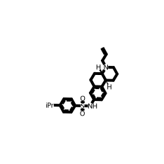 C=CCN1CCC[C@H]2c3ccc(NS(=O)(=O)c4ccc(C(C)C)cc4)cc3CC[C@@H]21